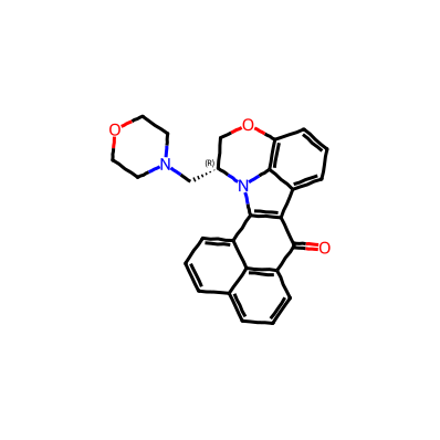 O=C1c2c(n3c4c(cccc24)OC[C@H]3CN2CCOCC2)-c2cccc3cccc1c23